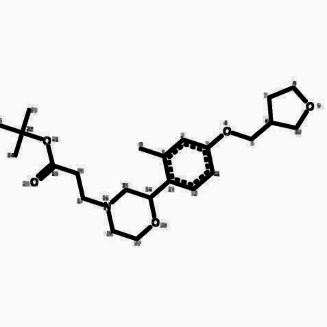 Cc1cc(OCC2CCOC2)ccc1C1CN(CCC(=O)OC(C)(C)C)CCO1